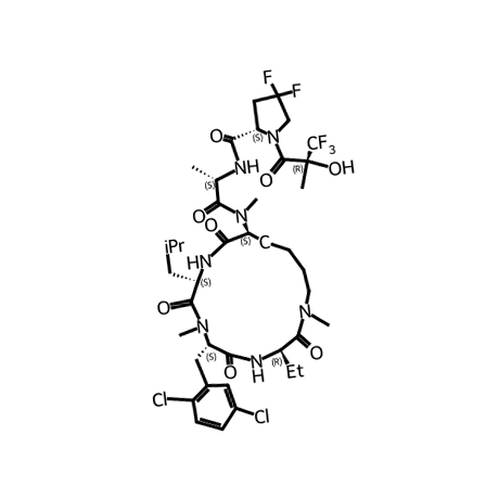 CC[C@H]1NC(=O)[C@H](Cc2cc(Cl)ccc2Cl)N(C)C(=O)[C@H](CC(C)C)NC(=O)[C@@H](N(C)C(=O)[C@H](C)NC(=O)[C@@H]2CC(F)(F)CN2C(=O)[C@@](C)(O)C(F)(F)F)CCCCN(C)C1=O